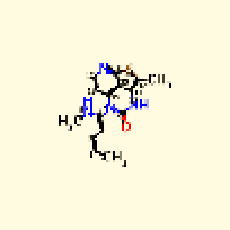 C/C=C\C=C(/NC)N1C(=O)Nc2c(C)sc3nccc1c23